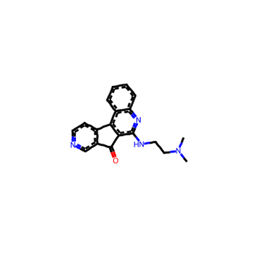 CN(C)CCNc1nc2ccccc2c2c1C(=O)c1cnccc1-2